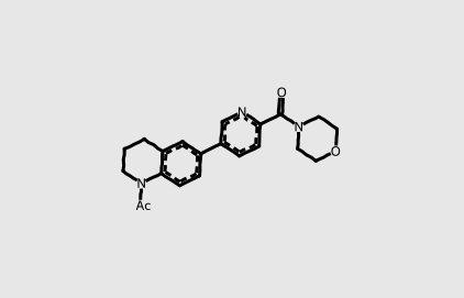 CC(=O)N1CCCc2cc(-c3ccc(C(=O)N4CCOCC4)nc3)ccc21